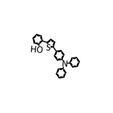 Oc1ccccc1-c1ccc(-c2ccc(N(c3ccccc3)c3ccccc3)cc2)s1